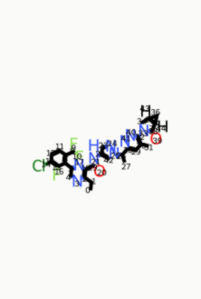 CCc1ncc(-c2c(C(F)F)ccc(Cl)c2F)nc1C(=O)Nc1cnn(C(C)c2cc(C)c(N3C[C@H]4C[C@H]4C3=O)nn2)c1